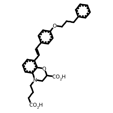 O=C(O)CCCN1CC(C(=O)O)Oc2c(C=Cc3ccc(OCCCc4ccccc4)cc3)cccc21